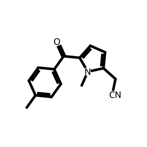 Cc1ccc(C(=O)c2ccc(CC#N)n2C)cc1